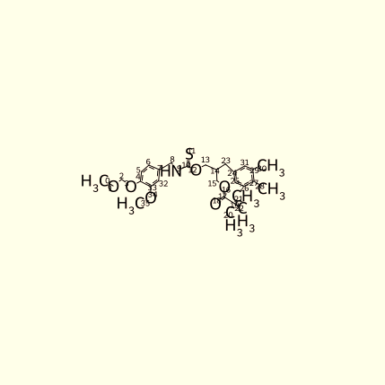 COCOc1ccc(CNC(=S)OCC(COC(=O)C(C)(C)C)Cc2ccc(C)c(C)c2)cc1OC